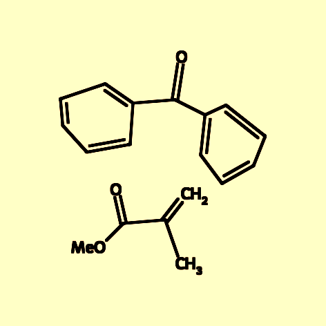 C=C(C)C(=O)OC.O=C(c1ccccc1)c1ccccc1